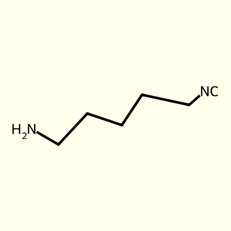 [C-]#[N+]CCCCCN